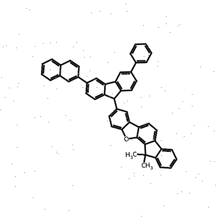 CC1(C)c2ccccc2-c2ccc3c(oc4ccc(C5c6ccc(-c7ccccc7)cc6-c6cc(-c7ccc8ccccc8c7)ccc65)cc43)c21